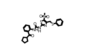 CS(=O)(=O)c1sc(NC(=O)Nc2ccccc2C(=O)C2CCCC2)nc1CSc1ccccc1